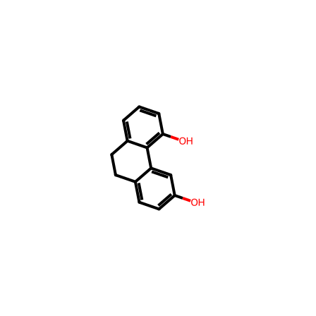 Oc1ccc2c(c1)-c1c(O)cccc1CC2